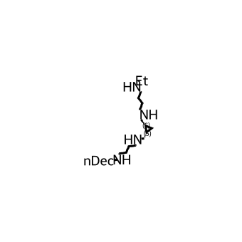 CCCCCCCCCCNCCCCNC[C@H]1C[C@@H]1CNCCCCNCC